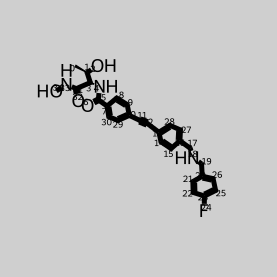 C[C@@H](O)[C@H](NC(=O)c1ccc(C#Cc2ccc(CNCc3ccc(F)cc3)cc2)cc1)C(=O)NO